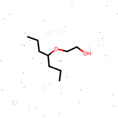 CCCC(CCC)OCCO